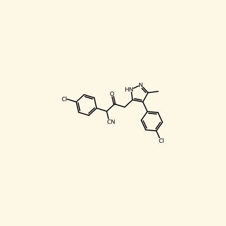 Cc1n[nH]c(CC(=O)C(C#N)c2ccc(Cl)cc2)c1-c1ccc(Cl)cc1